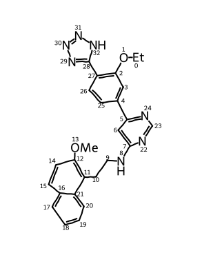 CCOc1cc(-c2cc(NCCc3c(OC)ccc4ccccc34)ncn2)ccc1-c1nnn[nH]1